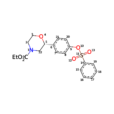 CCOC(=O)N1CCO[C@H](c2ccc(OS(=O)(=O)c3ccccc3)cc2)C1